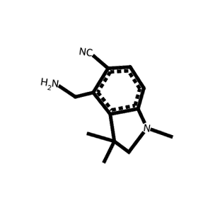 CN1CC(C)(C)c2c1ccc(C#N)c2CN